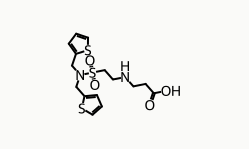 O=C(O)CCNCCS(=O)(=O)N(Cc1cccs1)Cc1cccs1